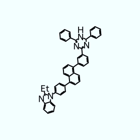 CCc1nc2ccccc2n1-c1ccc(-c2cccc3c(-c4cccc(C5=NC(c6ccccc6)NC(c6ccccc6)=N5)c4)cccc23)cc1